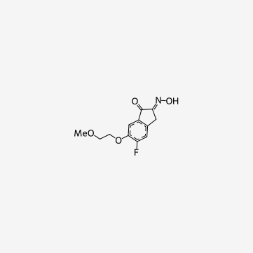 COCCOc1cc2c(cc1F)CC(=NO)C2=O